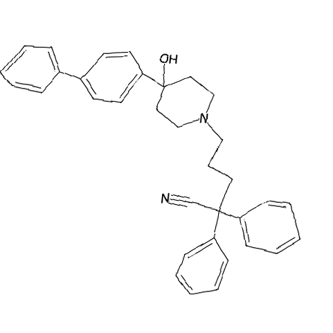 N#CC(CCCN1CCC(O)(c2ccc(-c3ccccc3)cc2)CC1)(c1ccccc1)c1ccccc1